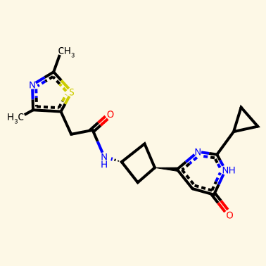 Cc1nc(C)c(CC(=O)N[C@H]2C[C@H](c3cc(=O)[nH]c(C4CC4)n3)C2)s1